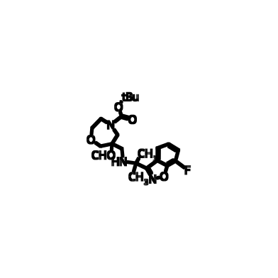 CC(C)(C)OC(=O)N1CCOCC(C=O)(CNC(C)(C)c2noc3c(F)cccc23)C1